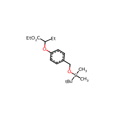 CCOC(=O)C(CC)Oc1ccc(CO[Si](C)(C)C(C)(C)C)cc1